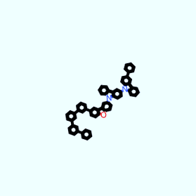 c1ccc(-c2cccc(-c3cccc(-c4cccc(-c5ccc6oc7ccc(-n8c9ccccc9c9cc(-n%10c%11ccccc%11c%11cc(-c%12ccccc%12)ccc%11%10)ccc98)cc7c6c5)c4)c3)c2)cc1